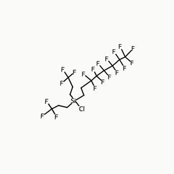 FC(F)(F)CC[Si](Cl)(CCC(F)(F)F)CCC(F)(F)C(F)(F)C(F)(F)C(F)(F)C(F)(F)C(F)(F)F